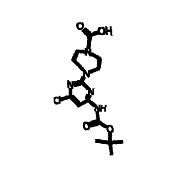 CC(C)(C)OC(=O)Nc1cc(Cl)nc(N2CCN(C(=O)O)CC2)n1